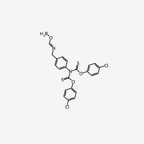 BOC=NCc1ccc(N(C(=S)Oc2ccc(Cl)cc2)C(=S)Oc2ccc(Cl)cc2)cc1